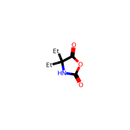 CCC1(CC)NC(=O)OC1=O